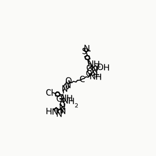 Cc1ncsc1-c1ccc(CNC(=O)[C@@H]2C[C@@H](O)CN2C(=O)C(NC(=O)CCCCCCCCCC(=O)N2CCN(CC[C@H](NC(=O)C3(N)CCN(c4ncnc5[nH]ccc45)CC3)c3ccc(Cl)cc3)CC2)C(C)(C)C)cc1